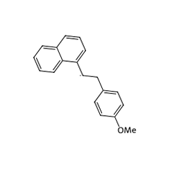 COc1ccc(C[CH]c2cccc3ccccc23)cc1